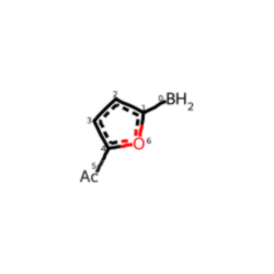 Bc1ccc(C(C)=O)o1